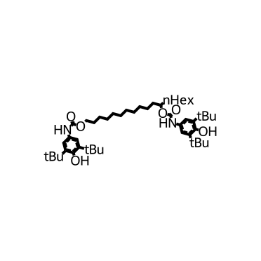 CCCCCCC(CCCCCCCCCCCOC(=O)Nc1cc(C(C)(C)C)c(O)c(C(C)(C)C)c1)OC(=O)Nc1cc(C(C)(C)C)c(O)c(C(C)(C)C)c1